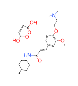 COc1cc(C=CC(=O)N[C@H]2CC[C@H](C)CC2)ccc1OCCN(C)C.O=C(O)/C=C\C(=O)O